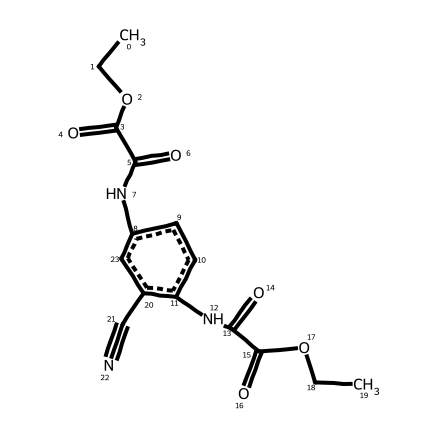 CCOC(=O)C(=O)Nc1ccc(NC(=O)C(=O)OCC)c(C#N)c1